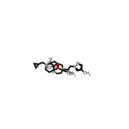 Cc1cnn(C[C@H](C)N2CC[C@]34CCN(CC5CC5)[C@H](Cc5ccc(O)cc53)[C@]4(O)CC2)c1